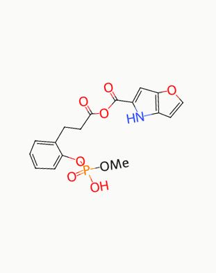 COP(=O)(O)Oc1ccccc1CCC(=O)OC(=O)c1cc2occc2[nH]1